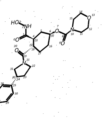 O=C(NO)[C@H]1C[C@@H](OC(=O)N2CCOCC2)CC[C@@H]1C(=O)N1CC[C@H](c2ccccc2)C1